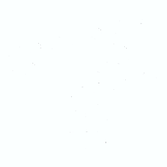 O=C(O)C(F)(F)F.O=C(O)CC(NC(=O)[C@@H](CCO)NC(=O)CCCCNc1ccccn1)c1ccc(-c2ccccc2)cc1